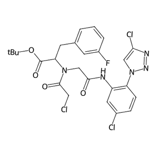 CC(C)(C)OC(=O)C(Cc1cccc(F)c1)N(CC(=O)Nc1cc(Cl)ccc1-n1cc(Cl)nn1)C(=O)CCl